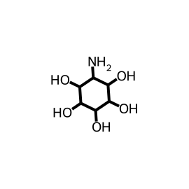 NC1C(O)C(O)C(O)C(O)C1O